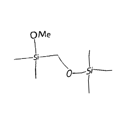 CO[Si](C)(C)CO[Si](C)(C)C